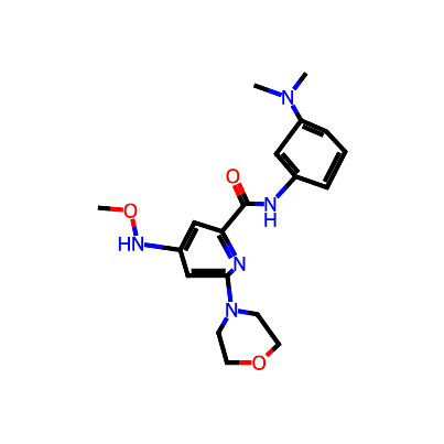 CONc1cc(C(=O)Nc2cccc(N(C)C)c2)nc(N2CCOCC2)c1